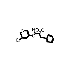 O=C(O)C(CCc1ccccc1)Oc1cncc(Cl)c1